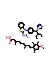 CCC(CC)C(c1ccc(N2c3ccccc3SC2N)cc1)n1ccnc1.COc1cc(C)c(/C=C/C(C)=C/C=C/C(C)=C/C(=O)O)c(C)c1C